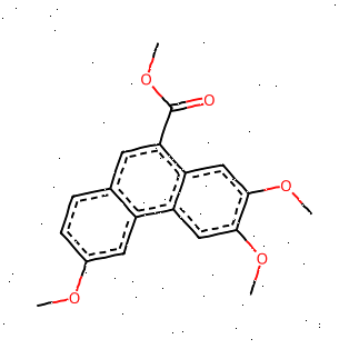 COC(=O)c1cc2ccc(OC)cc2c2cc(OC)c(OC)cc12